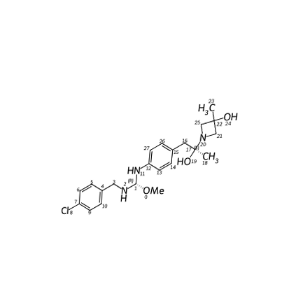 CO[C@H](NCc1ccc(Cl)cc1)Nc1ccc(C[C@](C)(O)N2CC(C)(O)C2)cc1